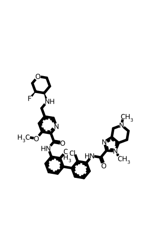 COc1cc(CN[C@@H]2CCOC[C@@H]2F)cnc1C(=O)Nc1cccc(-c2cccc(NC(=O)c3nc4c(n3C)CCN(C)C4)c2Cl)c1C